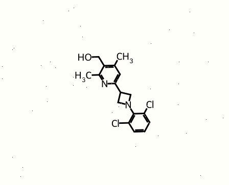 Cc1cc(C2CN(c3c(Cl)cccc3Cl)C2)nc(C)c1CO